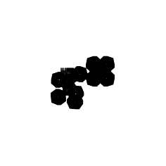 c1ccc(-n2c3c4ccccc4ccc3c3c4c5cc(-c6cccc7c6-c6ccccc6C76c7ccccc7-c7ccccc76)ccc5[nH]c4c4ccccc4c32)cc1